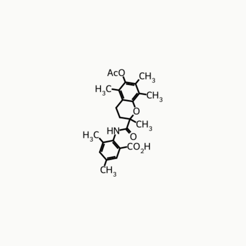 CC(=O)Oc1c(C)c(C)c2c(c1C)CCC(C)(C(=O)Nc1c(C)cc(C)cc1C(=O)O)O2